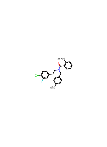 CNc1ccccc1C(=O)N(CCc1ccc(Cl)c(F)c1)Cc1ccc(C(C)(C)C)cc1